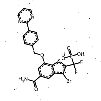 NC(=O)c1cc(OCc2ccc(-c3ncccn3)cc2)c2sc(C(F)(F)P(=O)(O)O)c(Br)c2c1